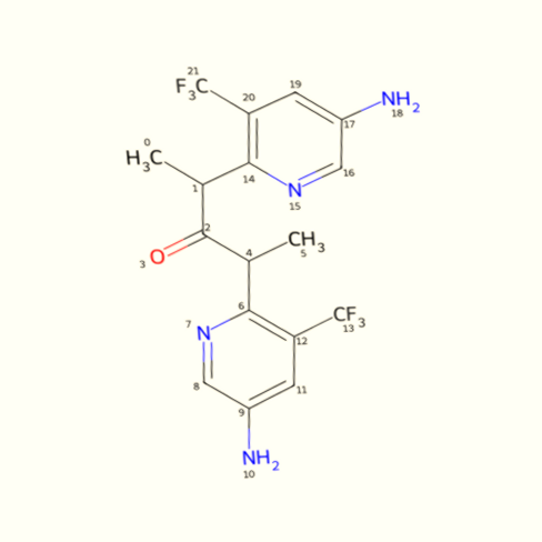 CC(C(=O)C(C)c1ncc(N)cc1C(F)(F)F)c1ncc(N)cc1C(F)(F)F